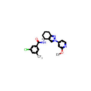 CCOc1cc(-n2cc3c(n2)CCC[C@H]3NC(=O)c2cc(Cl)cc(C(F)(F)F)c2)ccn1